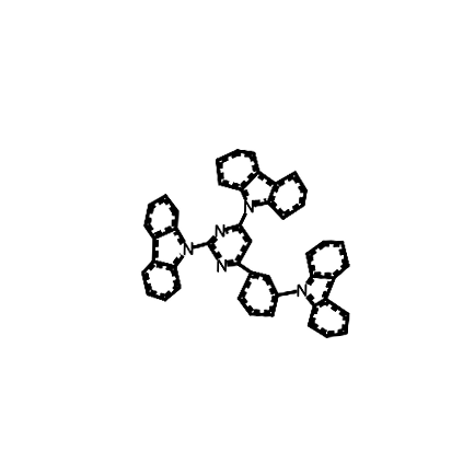 c1cc(-c2cc(-n3c4ccccc4c4ccccc43)nc(-n3c4ccccc4c4ccccc43)n2)cc(-n2c3ccccc3c3ccccc32)c1